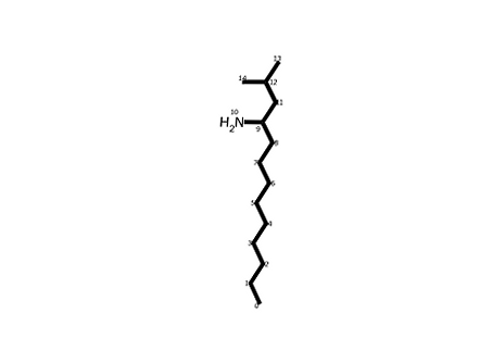 CCCCCCCCCC(N)CC(C)C